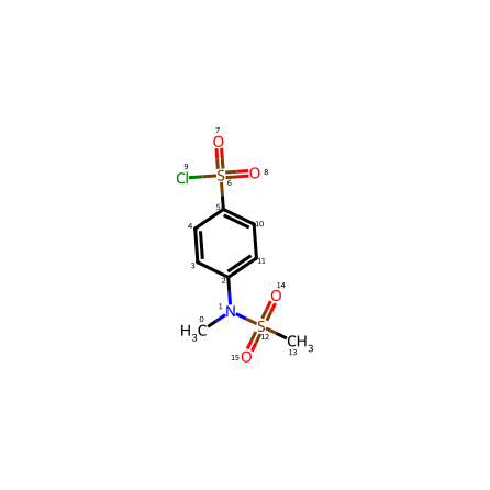 CN(c1ccc(S(=O)(=O)Cl)cc1)S(C)(=O)=O